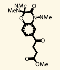 CNN1C(=O)C(NC)(NC)Oc2ccc(C(=O)CCC(=O)OC)cc21